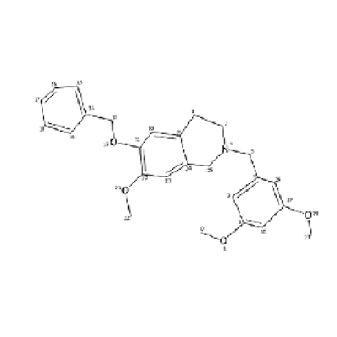 COc1cc(CN2CCc3cc(OCc4ccccc4)c(OC)cc3C2)cc(OC)c1